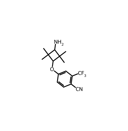 CC1(C)C(N)C(C)(C)C1Oc1ccc(C#N)c(C(F)(F)F)c1